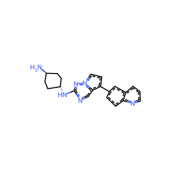 N[C@H]1CC[C@H](Nc2ncc3c(-c4ccc5ncccc5c4)ccn3n2)CC1